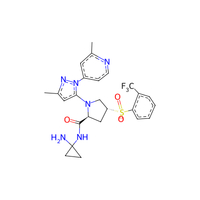 Cc1cc(-n2nc(C)cc2N2C[C@H](S(=O)(=O)c3ccccc3C(F)(F)F)C[C@H]2C(=O)NC2(N)CC2)ccn1